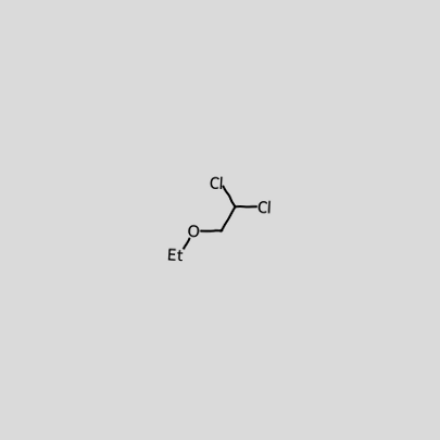 [CH2]COCC(Cl)Cl